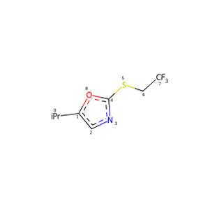 CC(C)c1cnc(SCC(F)(F)F)o1